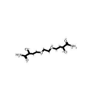 NC(=O)C(Cl)CCOCCOCCC(Cl)C(N)=O